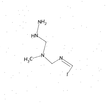 CN(C/N=C\I)CNN